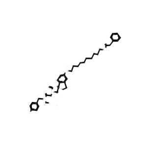 C[C@H](N(Cc1ccc(F)cc1)C(=O)CN1C(=O)O[C@@]2(CCc3cc(NCCCCCCCCCCNC(=O)Cc4ccccc4)ccc32)C1=O)C(F)(F)F